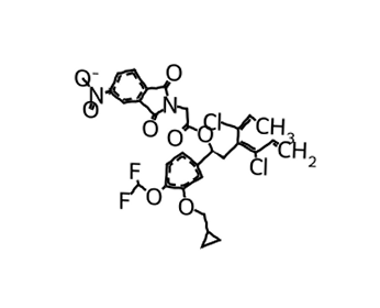 C=C/C(Cl)=C(C[C@H](OC(=O)CN1C(=O)c2ccc([N+](=O)[O-])cc2C1=O)c1ccc(OC(F)F)c(OCC2CC2)c1)\C(Cl)=C/C